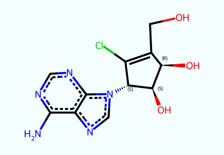 Nc1ncnc2c1ncn2[C@@H]1C(Cl)=C(CO)[C@@H](O)[C@H]1O